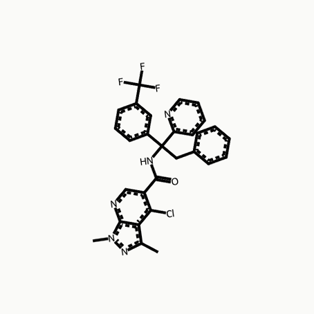 Cc1nn(C)c2ncc(C(=O)NC(Cc3ccccc3)(c3cccc(C(F)(F)F)c3)c3ccccn3)c(Cl)c12